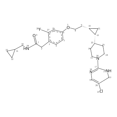 O=C(Cc1ccc(OCC[C@@H]2C[C@@H]2C2CCN(C3=NC=C(Cl)CN3)CC2)cc1F)NCC1CC1